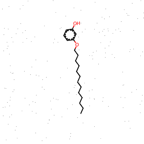 CCCCCCCCCCCCCOc1cccc(O)c1